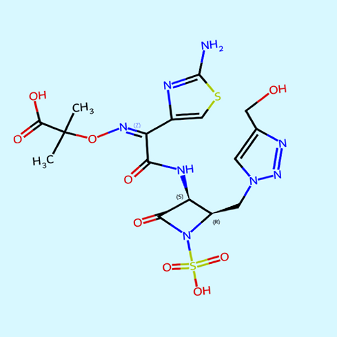 CC(C)(O/N=C(\C(=O)N[C@@H]1C(=O)N(S(=O)(=O)O)[C@@H]1Cn1cc(CO)nn1)c1csc(N)n1)C(=O)O